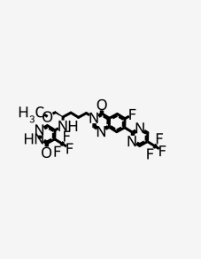 COC[C@@H](CCCn1cnc2cc(-c3ncc(C(F)(F)F)cn3)c(F)cc2c1=O)Nc1cn[nH]c(=O)c1C(F)(F)F